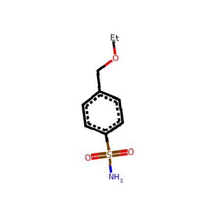 CCOCc1ccc(S(N)(=O)=O)cc1